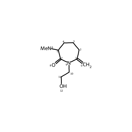 C=C1CCCC(NC)C(=O)N1CCO